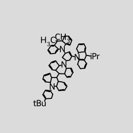 CC(C)C1C2=CC=CCC2N(C2=CC(N3C4=CC=CCC4C(C)(C)c4ccccc43)CC(N3C4C=CC=CC4C(C4C5C=CC=CC5N(C5=CC=C(C(C)(C)C)CC5)C5C=CC=CC45)C4C=CC=CC43)C2)C2=C1C=CCC2